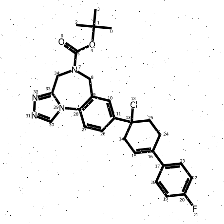 CC(C)(C)OC(=O)N1Cc2cc(C3(Cl)CC=C(c4ccc(F)cc4)CC3)ccc2-n2cnnc2C1